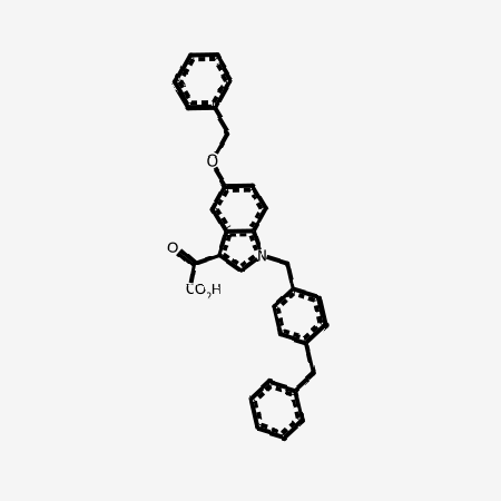 O=C(O)C(=O)c1cn(Cc2ccc(Cc3ccccc3)cc2)c2ccc(OCc3ccccc3)cc12